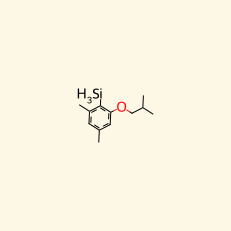 Cc1cc(C)c([SiH3])c(OCC(C)C)c1